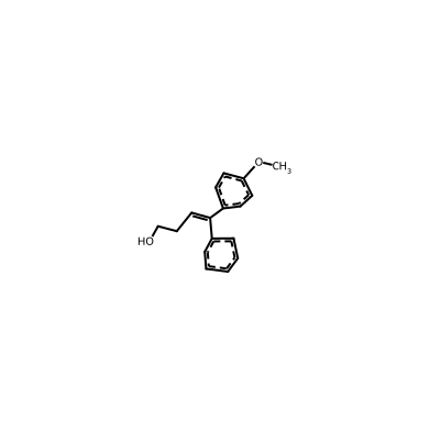 COc1ccc(C(=CCCO)c2ccccc2)cc1